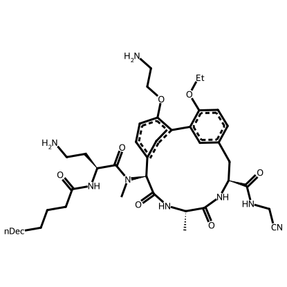 CCCCCCCCCCCCCC(=O)N[C@@H](CCN)C(=O)N(C)[C@@H]1C(=O)N[C@@H](C)C(=O)N[C@H](C(=O)NCC#N)Cc2ccc(OCC)c(c2)-c2cc1ccc2OCCN